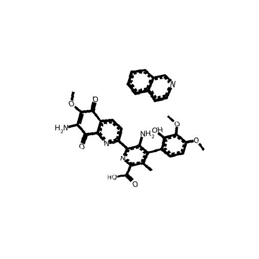 COC1=C(N)C(=O)c2nc(-c3nc(C(=O)O)c(C)c(-c4ccc(OC)c(OC)c4O)c3N)ccc2C1=O.c1ccc2cnccc2c1